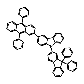 c1ccc(-c2c3ccccc3c(-c3ccccc3)c3cc(-c4ccc5c(c4)c4ccccc4n5-c4ccc5c(c4)C(c4ccccc4)(c4ccccc4)c4ccccc4-5)ccc23)cc1